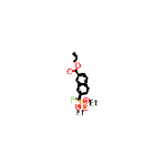 C=CCOC(=O)c1ccc2ccc([C@@H](F)P(=O)(OCC)OCC)cc2c1